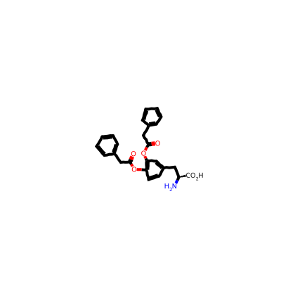 N[C@@H](Cc1ccc(OC(=O)Cc2ccccc2)c(OC(=O)Cc2ccccc2)c1)C(=O)O